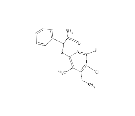 CCc1c(C)c(SC(C(N)=O)c2ccccc2)nc(F)c1Cl